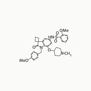 COc1ccc(CN2C(=O)C3(CCC3)c3cc(NS(=O)(=O)c4ccccc4OC)cc(OC4CCN(C)CC4)c32)cc1